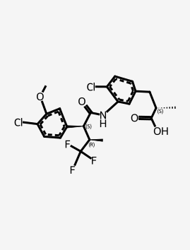 COc1cc([C@@H](C(=O)Nc2cc(C[C@H](C)C(=O)O)ccc2Cl)[C@@H](C)C(F)(F)F)ccc1Cl